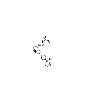 CCO[C@@]1(C2C=CC(c3cc4c(N5CCN(C(=O)C6CC6)CC5)ccnn4c3)=CC2)CCCN(C(C)C)C1